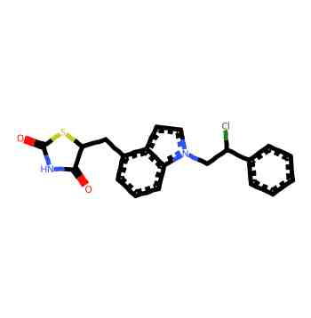 O=C1NC(=O)C(Cc2cccc3c2ccn3CC(Cl)c2ccccc2)S1